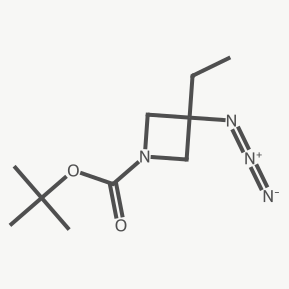 CCC1(N=[N+]=[N-])CN(C(=O)OC(C)(C)C)C1